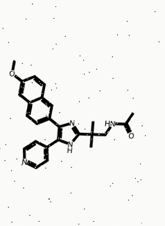 COc1ccc2cc(-c3nc(C(C)(C)CNC(C)=O)[nH]c3-c3ccncc3)ccc2c1